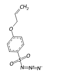 C=CCOc1ccc(S(=O)(=O)N=[N+]=[N-])cc1